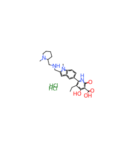 CCc1c(-c2ccc3c(c2)cc(CNCC2CCCCN2C)n3C)[nH]c(=O)c(C(=O)O)c1O.Cl.Cl